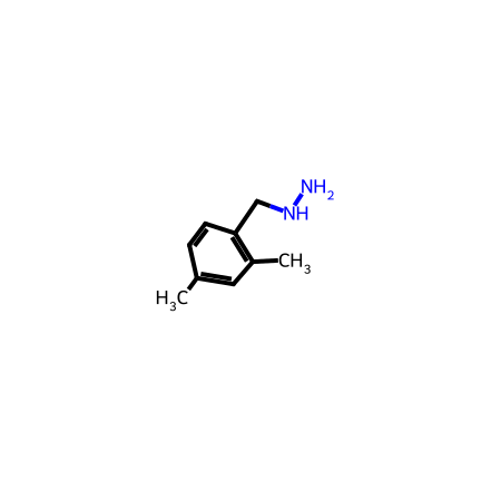 Cc1ccc(CNN)c(C)c1